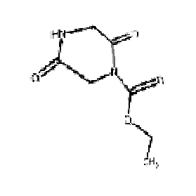 CCOC(=O)N1CC(=O)NCC1=O